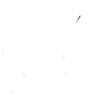 COC(=O)N1c2ccc3c(nc([C@H](O)c4ccccc4)n3[C@H]3CC[C@H](C(=O)O)CC3)c2CC[C@@H]1C